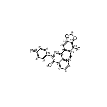 O=c1c2cccnc2c(-c2cc3c(c(F)c2F)OCO3)nn1-c1ccc(F)cc1